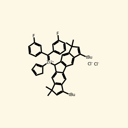 CC(C)(C)C1=CC(C)(C)c2cc3c(cc21)-c1cc2c(cc1[CH]3[Zr+2]([C]1=CC=CC1)=[C](c1cccc(F)c1)c1cccc(F)c1)C(C)(C)C=C2C(C)(C)C.[Cl-].[Cl-]